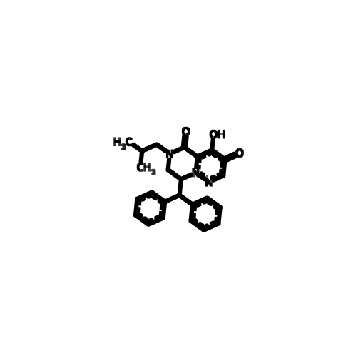 CC(C)CN1CC(C(c2ccccc2)c2ccccc2)n2ncc(=O)c(O)c2C1=O